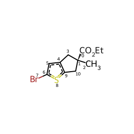 CCOC(=O)[C@]1(C)Cc2cc(Br)sc2C1